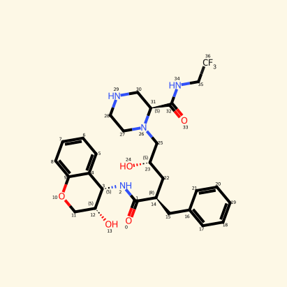 O=C(N[C@H]1c2ccccc2OC[C@H]1O)[C@H](Cc1ccccc1)C[C@H](O)CN1CCNC[C@H]1C(=O)NCC(F)(F)F